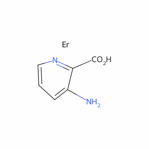 Nc1cccnc1C(=O)O.[Er]